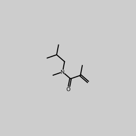 C=C(C)C(=O)N(C)CC(C)C